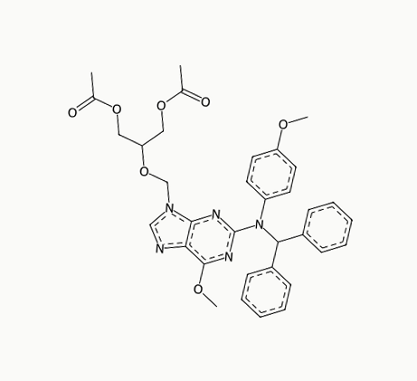 COc1ccc(N(c2nc(OC)c3ncn(COC(COC(C)=O)COC(C)=O)c3n2)C(c2ccccc2)c2ccccc2)cc1